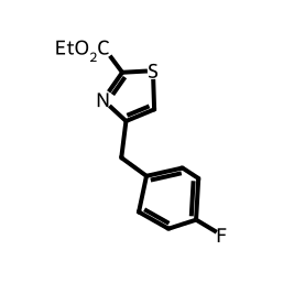 CCOC(=O)c1nc(Cc2ccc(F)cc2)cs1